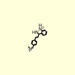 CN(C)Cc1ccc(/C=C/C(=N)c2ccccc2N)cc1